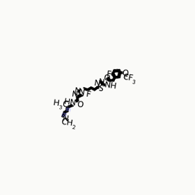 C=N/C=C\C=C(/C)CNC(=O)c1cn(CC(F)CCc2nnc(NC(=O)Cc3cc(OC(F)(F)F)ccc3F)s2)nn1